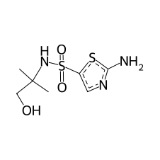 CC(C)(CO)NS(=O)(=O)c1cnc(N)s1